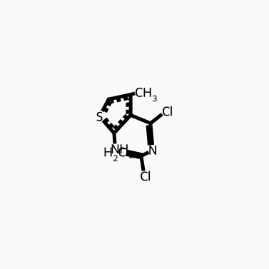 C=C(Cl)/N=C(/Cl)c1c(C)csc1N